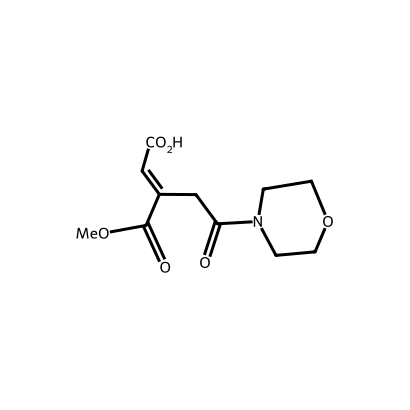 COC(=O)/C(=C/C(=O)O)CC(=O)N1CCOCC1